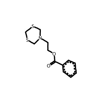 O=C(OCCN1CSCSC1)c1ccccc1